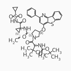 C=C[C@@H]1C[C@]1(NC(=O)[C@@H]1C[C@@H](Oc2cc(-c3ccccc3)nc3c2sc2ccccc23)CN1C(=O)[C@@H](NC(=O)OC(C)(C)C)C(C)(C)C)C(=O)NS(=O)(=O)C1CC1